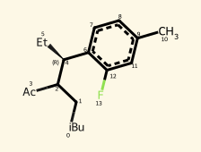 CCC(C)CC(C(C)=O)[C@@H](CC)c1ccc(C)cc1F